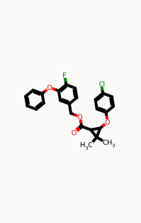 CC1(C)C(Oc2ccc(Cl)cc2)C1C(=O)OCc1ccc(F)c(Oc2ccccc2)c1